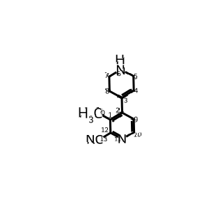 Cc1c(C2=CCNCC2)ccnc1C#N